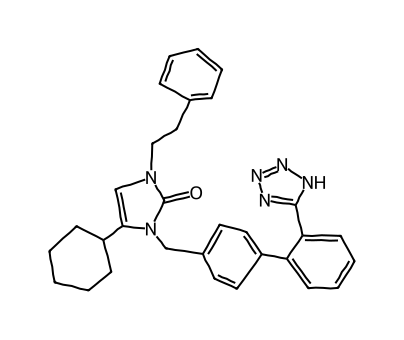 O=c1n(CCc2ccccc2)cc(C2CCCCC2)n1Cc1ccc(-c2ccccc2-c2nnn[nH]2)cc1